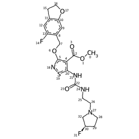 COC(=O)c1c(OCc2cc3c(cc2F)CCO3)nsc1NC(=O)NCCN1CC[C@@H](F)C1